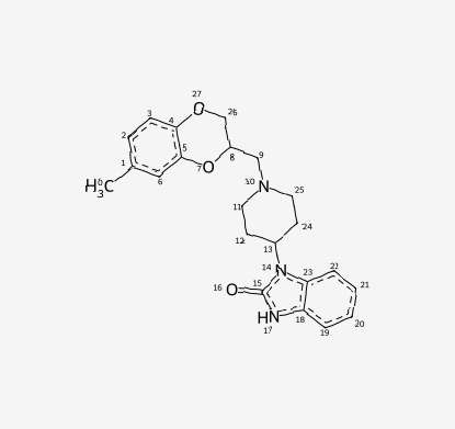 Cc1ccc2c(c1)OC(CN1CCC(n3c(=O)[nH]c4ccccc43)CC1)CO2